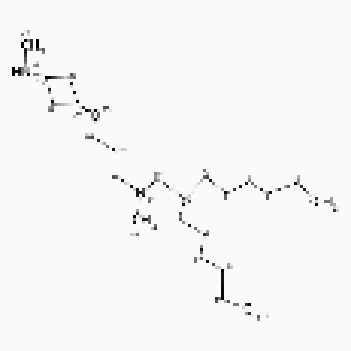 CCCCCCC(CCCCCC)CN(C)CCCO[C@H]1C[C@H](NC)C1